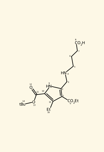 CCOC(=O)c1c(CNCCCC(=O)O)[nH]c(C(=O)OC(C)(C)C)c1CC